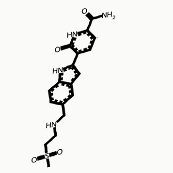 CS(=O)(=O)CCNCc1ccc2[nH]c(-c3c[c]c(C(N)=O)[nH]c3=O)cc2c1